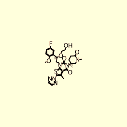 COc1ccc(F)cc1[C@H](Cn1c(=O)n([C@@]2(C)CCC(=O)N(C)C2)c(=O)c2c(C)c(-n3nccn3)sc21)OCCO